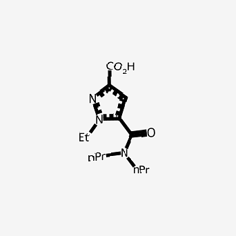 CCCN(CCC)C(=O)c1cc(C(=O)O)nn1CC